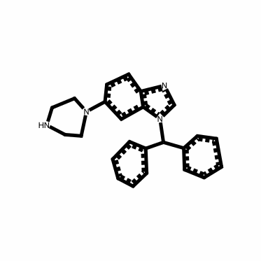 c1ccc(C(c2ccccc2)n2cnc3ccc(N4CCNCC4)cc32)cc1